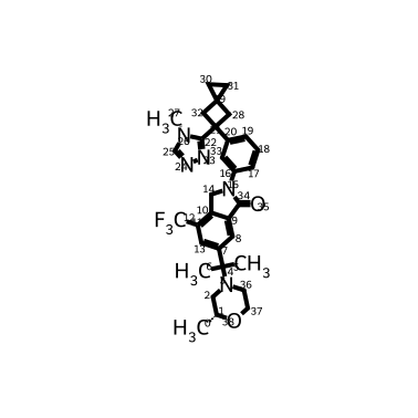 C[C@@H]1CN(C(C)(C)c2cc3c(c(C(F)(F)F)c2)CN(c2cccc(C4(c5nncn5C)CC5(CC5)C4)c2)C3=O)CCO1